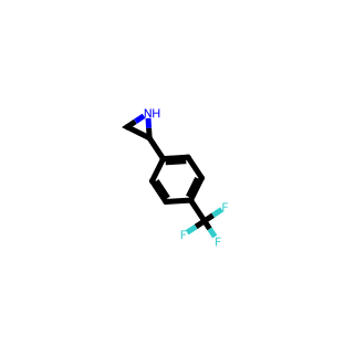 FC(F)(F)c1ccc(C2CN2)cc1